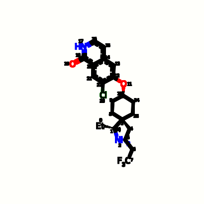 CC[C@@H](N)[C@]1(CCCC(F)(F)F)CC[C@@H](Oc2cc3cc[nH]c(=O)c3cc2Cl)CC1